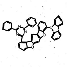 c1ccc(-c2nc(-c3ccccc3)nc(-c3cccc4oc5cc6oc7c(-n8c9ccccc9c9ccccc98)cccc7c6cc5c34)n2)cc1